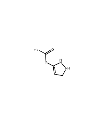 CC(C)(C)C(=O)OC1=CCNN1